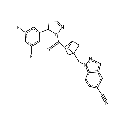 N#Cc1ccc2c(cnn2CC23CC(C2)C(C(=O)N2N=CCC2c2cc(F)cc(F)c2)C3)c1